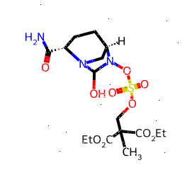 CCOC(=O)C(C)(COS(=O)(=O)ON1C(O)N2C[C@H]1CC[C@H]2C(N)=O)C(=O)OCC